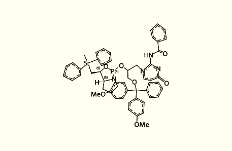 COc1ccc(C(OCC(Cn2ccc(=O)nc2NC(=O)c2ccccc2)O[P@@]2O[C@H](C[Si](C)(c3ccccc3)c3ccccc3)[C@@H]3CCCN32)(c2ccccc2)c2ccc(OC)cc2)cc1